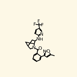 Cc1cc(-c2ccccc2C(=O)N2CC3CC34CC(Nc3ccc(C(F)(F)F)cn3)C24)no1